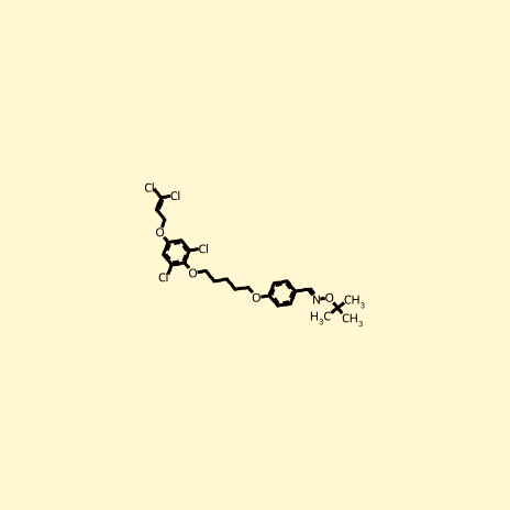 CC(C)(C)ON=Cc1ccc(OCCCCCOc2c(Cl)cc(OCC=C(Cl)Cl)cc2Cl)cc1